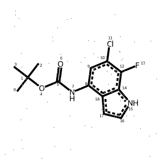 CC(C)(C)OC(=O)Nc1cc(Cl)c(F)c2[nH]ccc12